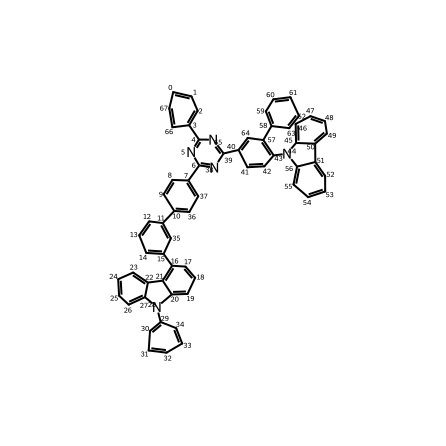 c1ccc(-c2nc(-c3ccc(-c4cccc(-c5cccc6c5c5ccccc5n6-c5ccccc5)c4)cc3)nc(-c3ccc(-n4c5ccccc5c5ccccc54)c(-c4ccccc4)c3)n2)cc1